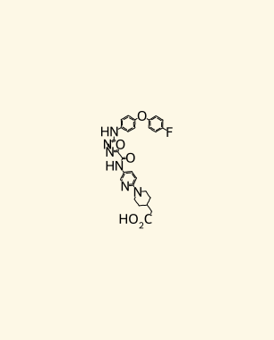 O=C(O)CC1CCN(c2ccc(NC(=O)c3nnc(Nc4ccc(Oc5ccc(F)cc5)cc4)o3)cn2)CC1